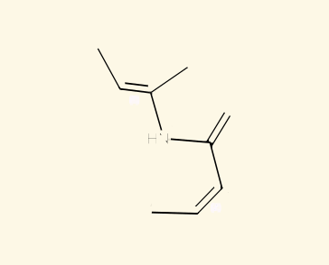 C=C(/C=C\C)N/C(C)=C/C